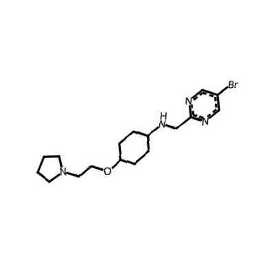 Brc1cnc(CNC2CCC(OCCN3CCCC3)CC2)nc1